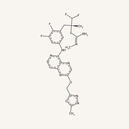 C/N=C(/N)S[C@](C)(Cc1cc(Nc2nccc3nc(OCc4nnc(C)o4)cnc23)cc(F)c1F)C(F)F